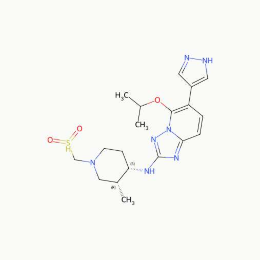 CC(C)Oc1c(-c2cn[nH]c2)ccc2nc(N[C@H]3CCN(C[SH](=O)=O)C[C@H]3C)nn12